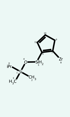 CC(C)[Si](C)(C)O[SiH2]C1=[C]([Zr])CC=C1